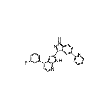 Fc1cccc(-c2ccnc3[nH]c(-c4n[nH]c5ccc(-c6ccccn6)cc45)cc23)c1